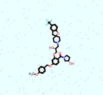 COc1ccc(COc2ccc(C(=O)N3CC[C@H](O)C3)c(OC[C@@H](O)CN3CCC4(CC3)Cc3cc(C(F)(F)F)ccc3O4)c2)cc1